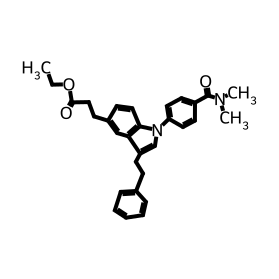 CCOC(=O)CCc1ccc2c(c1)c(CCc1ccccc1)cn2-c1ccc(C(=O)N(C)C)cc1